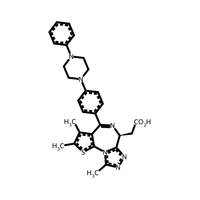 Cc1sc2c(c1C)C(c1ccc(N3CCN(c4ccccc4)CC3)cc1)=N[C@@H](CC(=O)O)c1nnc(C)n1-2